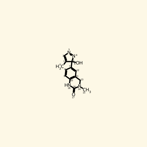 CC1=CN=NC1(O)c1ccc2c(c1)CN(C)C(=O)N2